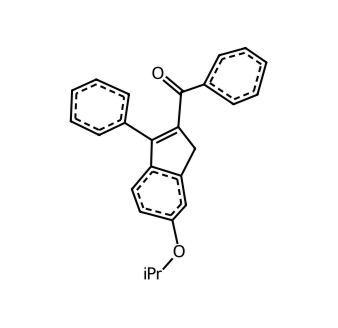 CC(C)Oc1ccc2c(c1)CC(C(=O)c1ccccc1)=C2c1ccccc1